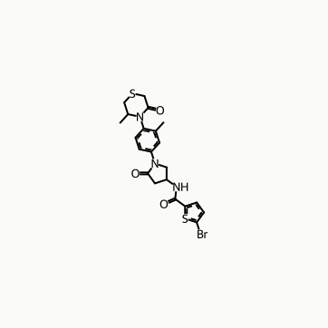 Cc1cc(N2CC(NC(=O)c3ccc(Br)s3)CC2=O)ccc1N1C(=O)CSCC1C